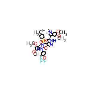 COc1ccc(CN(C(=O)Nc2ccc(OC(F)(F)F)cc2)C(c2ccnc3[nH]c(-c4cn(C)c5cc(OC)c(OC)cc45)cc23)S(=O)(=O)c2ccc(C)cc2)c(OC)c1